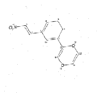 O=[N+]([O-])C=CC1=CCCC(C2=COC=CO2)=C1